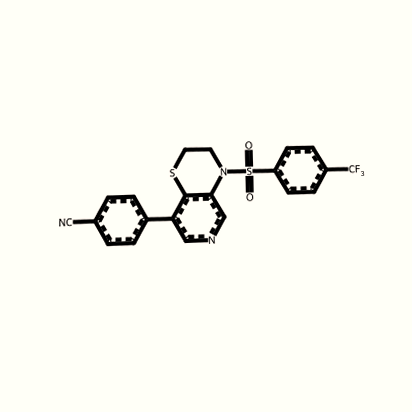 N#Cc1ccc(-c2cncc3c2SCCN3S(=O)(=O)c2ccc(C(F)(F)F)cc2)cc1